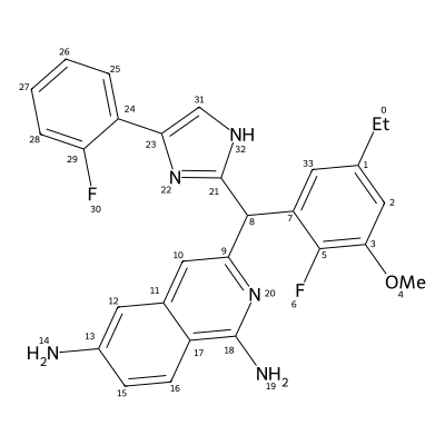 CCc1cc(OC)c(F)c(C(c2cc3cc(N)ccc3c(N)n2)c2nc(-c3ccccc3F)c[nH]2)c1